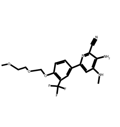 CNc1cc(-c2ccc(OCOCCOC)c(C(F)(F)F)c2)nc(C#N)c1N